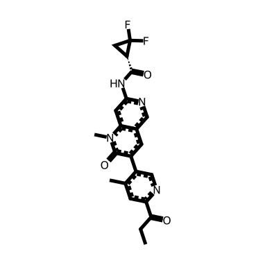 CCC(=O)c1cc(C)c(-c2cc3cnc(NC(=O)[C@@H]4CC4(F)F)cc3n(C)c2=O)cn1